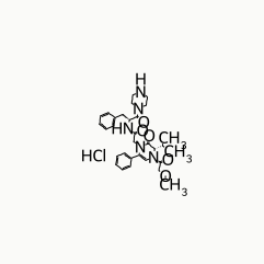 COCC(=O)N1C=C(c2ccccc2)N(CC(=O)N[C@@H](Cc2ccccc2)C(=O)N2CCNCC2)C(=O)[C@@H]1C(C)C.Cl